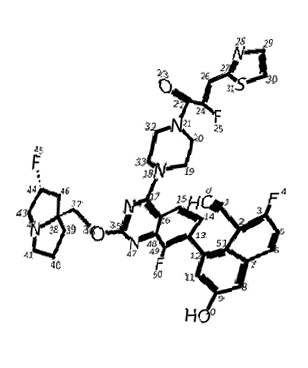 C#Cc1c(F)ccc2cc(O)cc(-c3ccc4c(N5CCN(C(=O)/C(F)=C/c6nccs6)CC5)nc(OC[C@@]56CCCN5C[C@H](F)C6)nc4c3F)c12